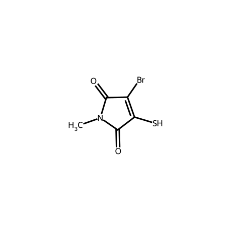 CN1C(=O)C(S)=C(Br)C1=O